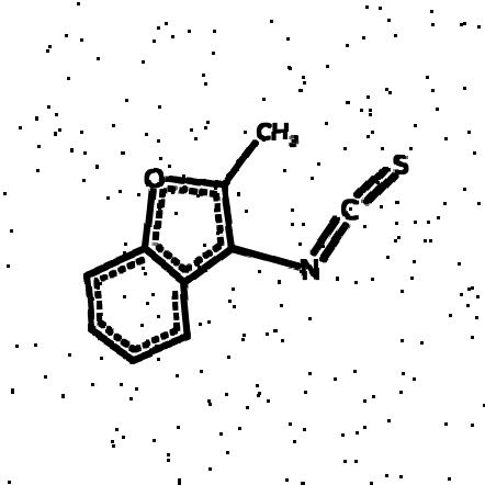 Cc1oc2ccccc2c1N=C=S